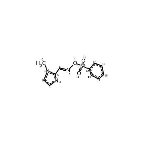 Cn1ccnc1/C=N/OS(=O)(=O)c1ccccc1